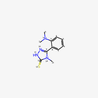 CN(C)c1ccccc1-c1n[nH]c(=S)n1C